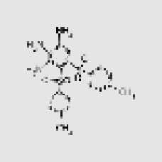 Cc1ccc(S(=O)(=O)c2cc(N)c(N)c(N)c2S(=O)(=O)c2ccc(C)cc2)cc1